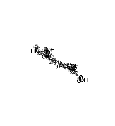 Cc1cc(N=Nc2cc(C)c(N=Nc3c(S(=O)(=O)O)cc4cc(Nc5ccccc5)ccc4c3O)cc2C)ccc1N=Nc1ccc(N=Nc2ccc(OCCCS(=O)(=O)O)cc2S(=O)(=O)O)c(C)c1